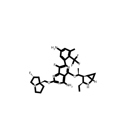 CC[C@@H]1N[C@H]2CC2[C@@H]1[C@H](C)Oc1nc(-c2cc(N)cc(C)c2C(F)(F)F)c(F)c2nc(OC[C@@]34CCCN3C[C@H](F)C4)nc(N)c12